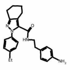 CCc1ccc(-n2nc3c(c2C(=O)NCCc2ccc(N)cc2)CCCC3)cc1